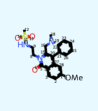 COc1ccc2c(=O)n(CCNS(C)(=O)=O)c(CN(C)C)c(-c3ccccc3)c2c1